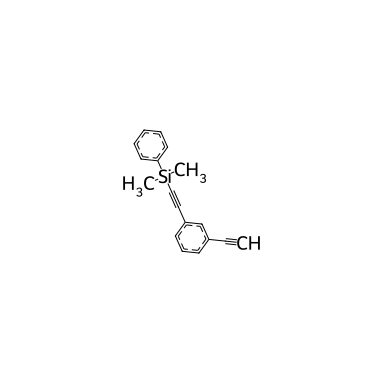 C#Cc1cccc(C#C[Si](C)(C)c2ccccc2)c1